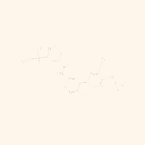 Cc1ncc(NC(=O)c2ccnc(C(C)(C)C#N)c2)cc1-c1cnc(NC2CC2)c(C#N)c1